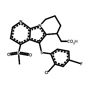 CS(=O)(=O)c1ccnc2c1c(Sc1ccc(F)cc1Cl)c1n2CCCC1CC(=O)O